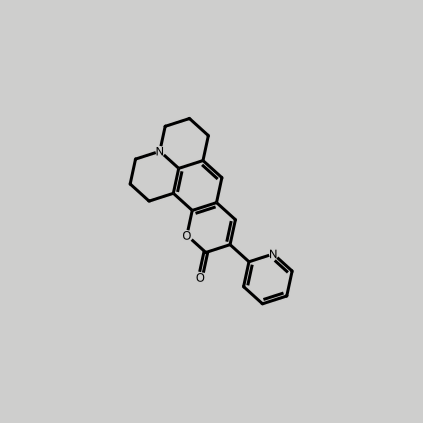 O=c1oc2c3c4c(cc2cc1-c1ccccn1)CCCN4CCC3